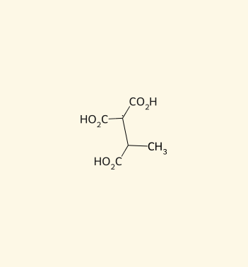 CC([C](C(=O)O)C(=O)O)C(=O)O